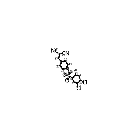 Cc1cc(Cl)c(Cl)cc1S(=O)(=O)Oc1ccc(C=C(C#N)C#N)cc1